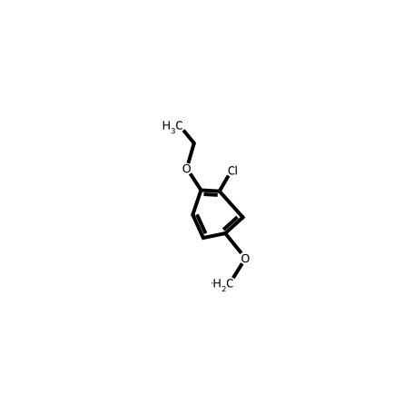 [CH2]Oc1ccc(OCC)c(Cl)c1